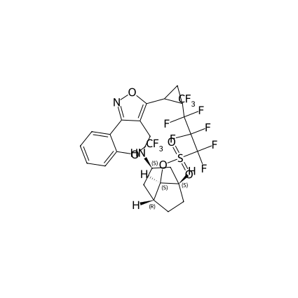 O=S(=O)(O[C@@H]1[C@@H]2CC[C@H]1C[C@H](NCc1c(-c3ccccc3OC(F)(F)F)noc1C1CC1)C2)C(F)(F)C(F)(F)C(F)(F)C(F)(F)F